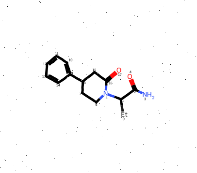 CCC(C(N)=O)N1CCC(c2ccccc2)CC1=O